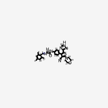 Cc1cc(C)c(/C=N/NC(=O)Nc2ccc(-c3c(-c4nc[nH]n4)sc(N4CCOCC4)c3C#N)cc2)c(C)c1